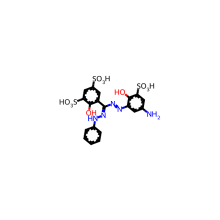 Nc1cc(N=NC(=NNc2ccccc2)c2cc(S(=O)(=O)O)cc(S(=O)(=O)O)c2O)c(O)c(S(=O)(=O)O)c1